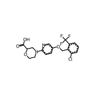 O=C(O)C1CN(c2ccc(OCc3c(Cl)cccc3C(F)(F)F)cn2)CCO1